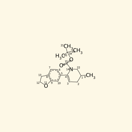 CC1CC=C(c2ccc3c(c2)OCC3)N(C(=O)OC(C)(C)C)C1